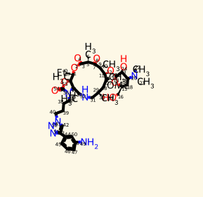 CC[C@H]1OC(=O)[C@H](C)C(=O)[C@H](C)[C@@H](O[C@@H]2O[C@H](CO)CC(N(C)C)[C@H]2O)[C@](C)(OC)C[C@@H](C)CN[C@H](C)[C@H]2N(CCCCn3cc(-c4cccc(N)c4)nn3)C(=O)O[C@]12C